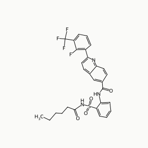 CCCCCC(=O)NS(=O)(=O)c1ccccc1NC(=O)c1ccc2nc(-c3cccc(C(F)(F)F)c3F)ccc2c1